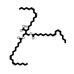 CCCCC/C=C\C/C=C\CCCCCCCC(=O)OCC(COC(=O)CCCCCCC/C=C\C/C=C\CCCCC)C(CCCCCC/C=C\C/C=C\CCCCC)C(=O)O